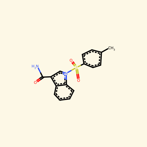 Cc1ccc(S(=O)(=O)n2cc(C(N)=O)c3c[c]ccc32)cc1